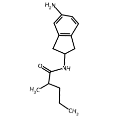 CCCC(C)C(=O)NC1Cc2ccc(N)cc2C1